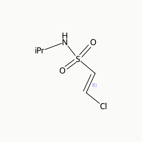 CC(C)NS(=O)(=O)/C=C/Cl